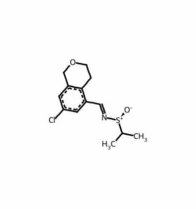 CC(C)[S@+]([O-])N=Cc1cc(Cl)cc2c1CCOC2